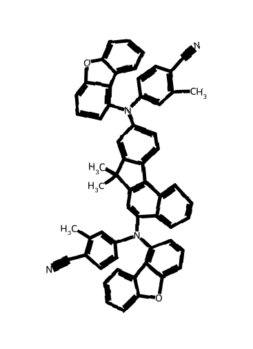 Cc1cc(N(c2ccc3c(c2)C(C)(C)c2cc(N(c4ccc(C#N)c(C)c4)c4cccc5oc6ccccc6c45)c4ccccc4c2-3)c2cccc3oc4ccccc4c23)ccc1C#N